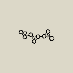 C1=CCC=C(n2c3ccccc3c3cc(-c4ccc5c(c4)c4ccccc4n5-c4cccc(-c5cccc6c5oc5ccccc56)c4)ccc32)C=C1